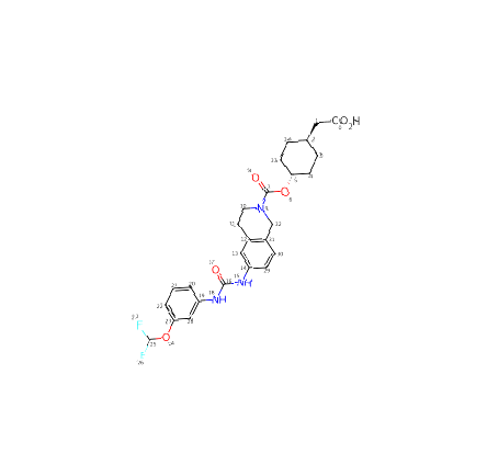 O=C(O)C[C@H]1CC[C@H](OC(=O)N2CCc3cc(NC(=O)Nc4cccc(OC(F)F)c4)ccc3C2)CC1